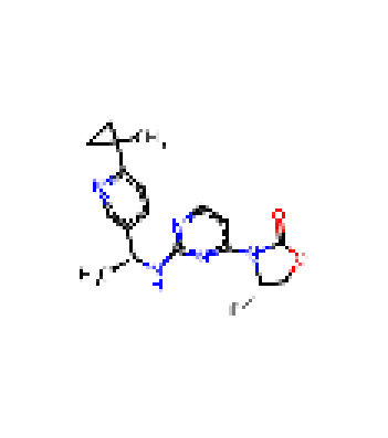 CC(C)[C@H]1COC(=O)N1c1ccnc(N[C@@H](C)c2ccc(C3(C)CC3)nc2)n1